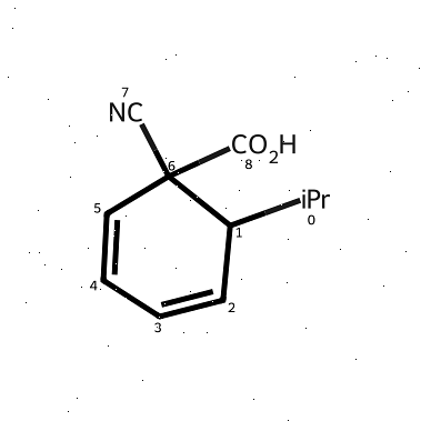 CC(C)C1C=CC=CC1(C#N)C(=O)O